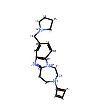 C1=CC(N2CCc3nc4cc(CN5CCCC5)ccc4n3CC2)=C1